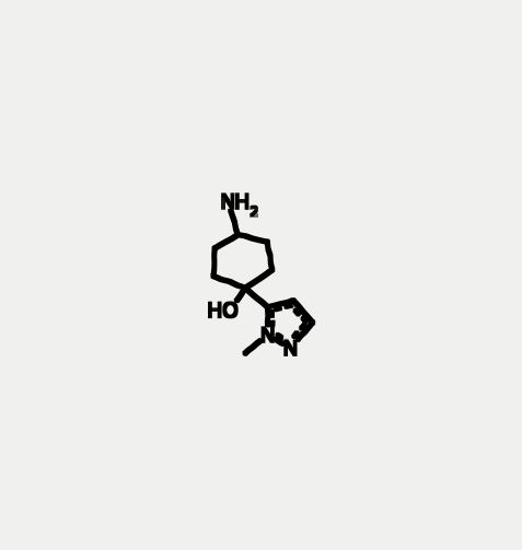 Cn1nccc1C1(O)CCC(N)CC1